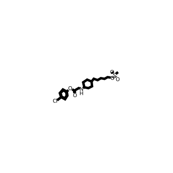 CS(=O)(=O)OCCCCCC1CCC(NCC(=O)Oc2ccc(Cl)cc2)CC1